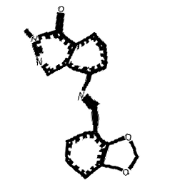 Cn1ncc2c(N=Cc3cccc4c3OCO4)cccc2c1=O